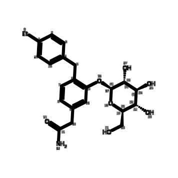 CCc1ccc(Cc2ccc(CC(N)=O)cc2O[C@@H]2O[C@H](CO)[C@@H](O)[C@H](O)[C@H]2O)cc1